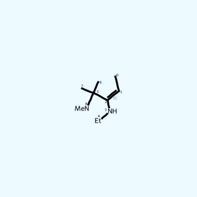 C/C=C(/NCC)C(C)(C)NC